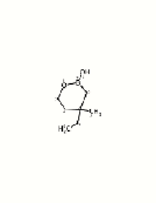 CCC1(C)CCOB(O)C1